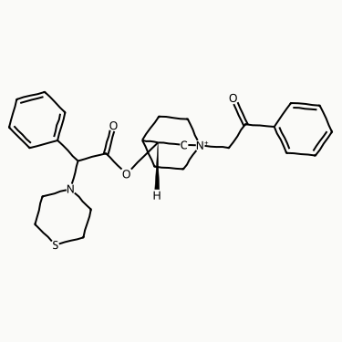 O=C(C[N+]12CCC(CC1)[C@@H](OC(=O)C(c1ccccc1)N1CCSCC1)C2)c1ccccc1